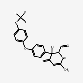 CC1=CC(=O)C(Cl)(c2ccc(Oc3ccc(OC(F)(F)F)cc3)cc2)C(C=O)N1